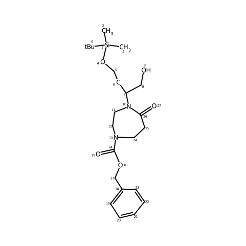 CC(C)(C)[Si](C)(C)OCCC(CO)N1CCN(C(=O)OCc2ccccc2)CCC1=O